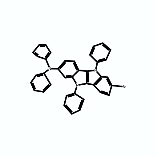 Brc1ccc2c(c1)n(-c1ccccc1)c1c3ccc(N(c4ccccc4)c4ccccc4)cc3n(-c3ccccc3)c21